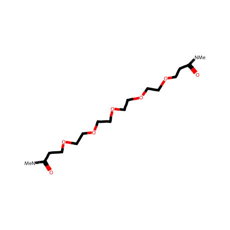 CNC(=O)CCOCCOCCOCCOCCOCCC(=O)NC